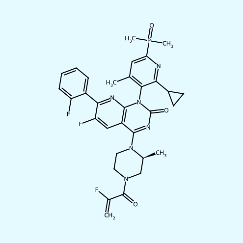 C=C(F)C(=O)N1CCN(c2nc(=O)n(-c3c(C)cc(P(C)(C)=O)nc3C3CC3)c3nc(-c4ccccc4F)c(F)cc23)[C@@H](C)C1